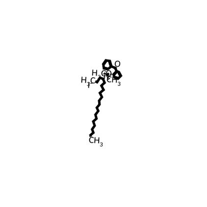 CCCCCCCCCCCCCCCCCC(CCC)[N+](C)(C)Oc1ccccc1C(=O)c1ccccc1.[I-]